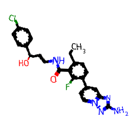 CCc1ccc(-c2ccn3nc(N)nc3c2)c(F)c1C(=O)NCC[C@@H](O)c1ccc(Cl)cc1